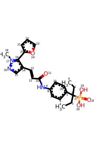 CCC(CC)(c1ccc(NC(=O)C=Cc2cnn(C)c2-c2ccco2)cc1)P(=O)(O)O